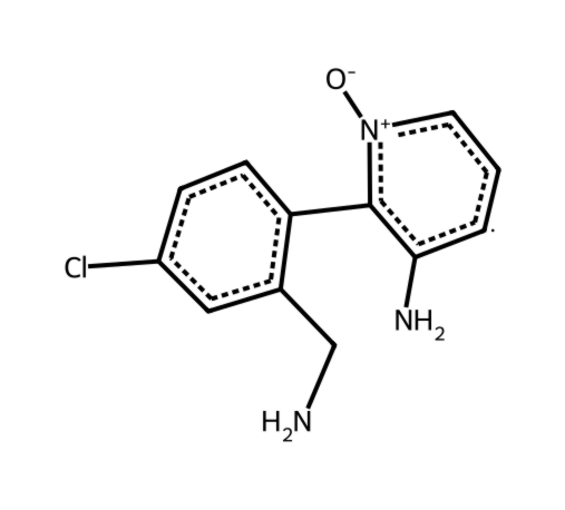 NCc1cc(Cl)ccc1-c1c(N)[c]cc[n+]1[O-]